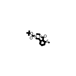 CSc1cccc2c1C(=O)N1CCN(C(=O)OC(C)(C)C)CC21